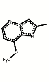 Cc1cn2nccc(OC(F)(F)F)c2n1